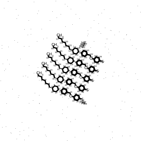 CCCCCCCC[C@H]1CC[C@H](c2ccc(COc3ccc([S])cc3)cc2)CC1.CCCCCCCC[C@H]1CC[C@H](c2ccc(COc3ccc([S])cc3)cc2)CC1.CCCCCCCC[C@H]1CC[C@H](c2ccc(COc3ccc([S])cc3)cc2)CC1.CCCCCCCC[C@H]1CC[C@H](c2ccc(COc3ccc([S])cc3)cc2)CC1.CCCCCCCC[C@H]1CC[C@H](c2ccc(COc3ccc([S])cc3)cc2)CC1.F.F.F.F.F